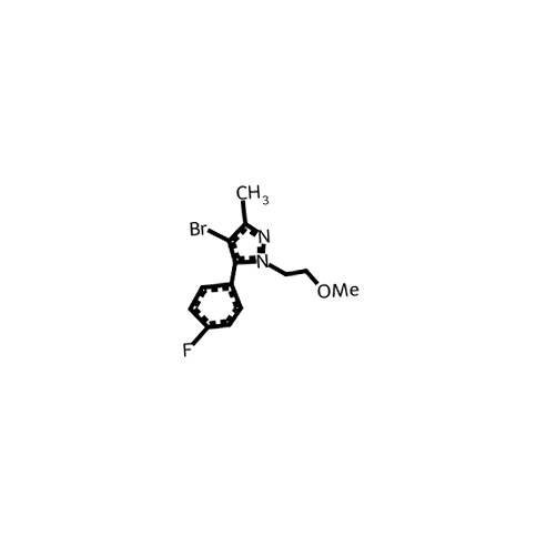 COCCn1nc(C)c(Br)c1-c1ccc(F)cc1